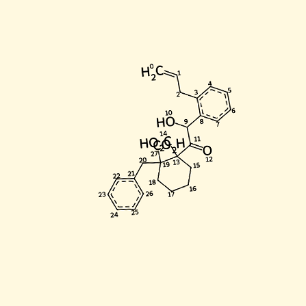 C=CCc1ccccc1C(O)C(=O)C1(C(=O)O)CCCCC1(Cc1ccccc1)C(=O)O